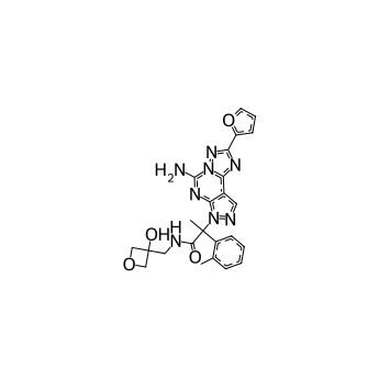 Cc1ccccc1C(C)(C(=O)NCC1(O)COC1)n1ncc2c1nc(N)n1nc(-c3ccco3)nc21